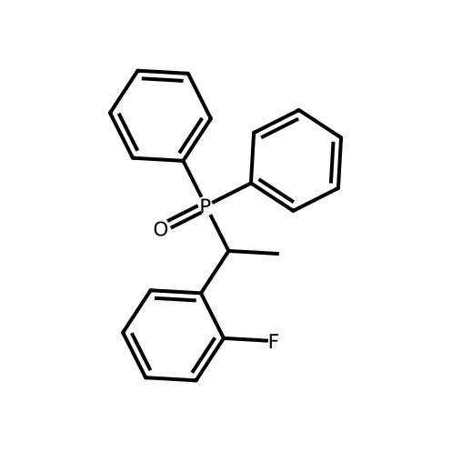 CC(c1ccccc1F)P(=O)(c1ccccc1)c1ccccc1